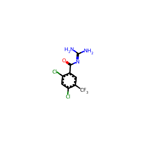 NC(N)=NC(=O)c1cc(C(F)(F)F)c(Cl)cc1Cl